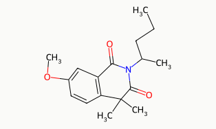 CCCC(C)N1C(=O)c2cc(OC)ccc2C(C)(C)C1=O